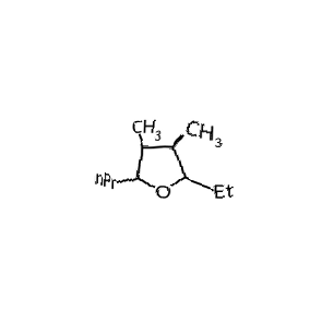 CCCC1OC(CC)C(C)C1C